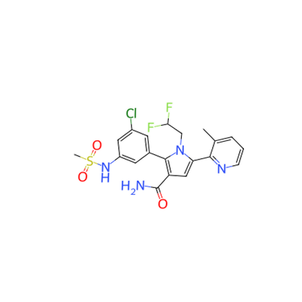 Cc1cccnc1-c1cc(C(N)=O)c(-c2cc(Cl)cc(NS(C)(=O)=O)c2)n1CC(F)F